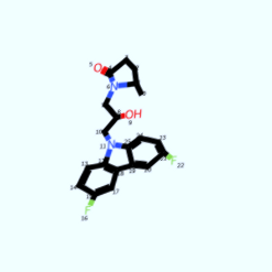 CC1CCC(=O)N1CC(O)Cn1c2ccc(F)cc2c2cc(F)ccc21